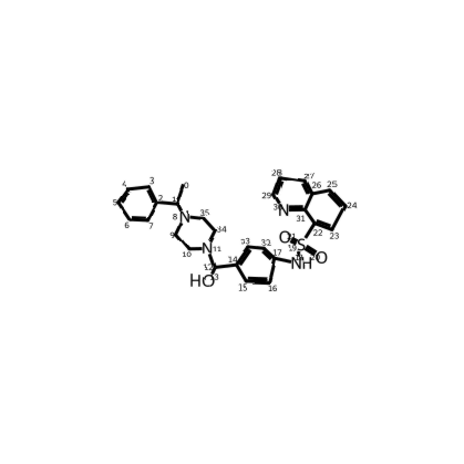 CC(c1ccccc1)N1CCN(C(O)c2ccc(NS(=O)(=O)c3cccc4cccnc34)cc2)CC1